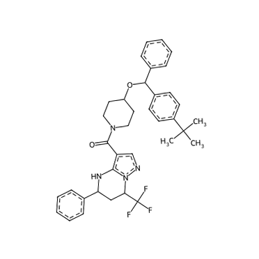 CC(C)(C)c1ccc(C(OC2CCN(C(=O)c3cnn4c3NC(c3ccccc3)CC4C(F)(F)F)CC2)c2ccccc2)cc1